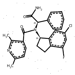 Cc1ccc(C(=O)N([C@@H]2CCc3c(F)cc(Cl)cc32)[C@@H](C(N)=O)c2ccccc2)c(C)n1